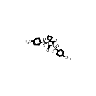 Cc1ccc(S(=O)(=O)N2C(=O)N(S(=O)(=O)c3ccc(C)cc3)C3(CCC3)C2=O)cc1